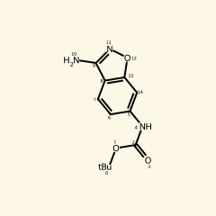 CC(C)(C)OC(=O)Nc1ccc2c(N)noc2c1